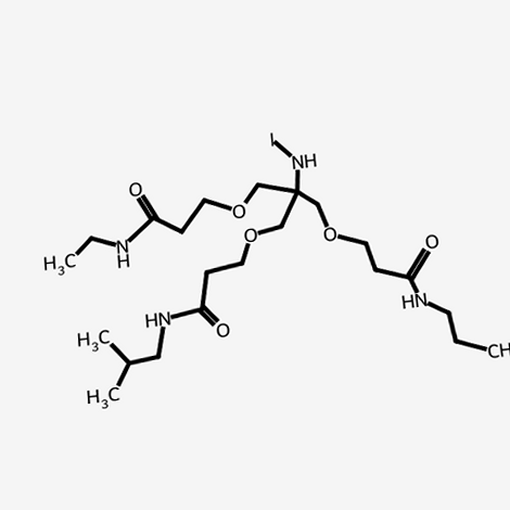 CCCNC(=O)CCOCC(COCCC(=O)NCC)(COCCC(=O)NCC(C)C)NI